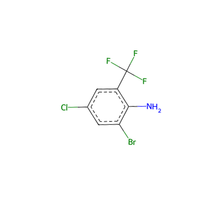 Nc1c(Br)cc(Cl)cc1C(F)(F)F